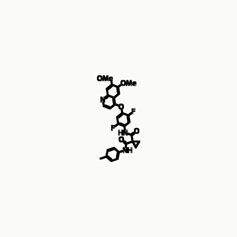 COc1cc2nccc(Oc3cc(F)c(NC(=O)C4(C(=O)Nc5ccc(C)cc5)CC4)cc3F)c2cc1OC